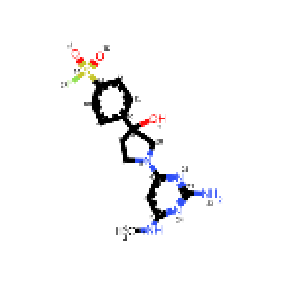 CNc1cc(N2CCC(O)(c3ccc(S(=O)(=O)F)cc3)C2)nc(N)n1